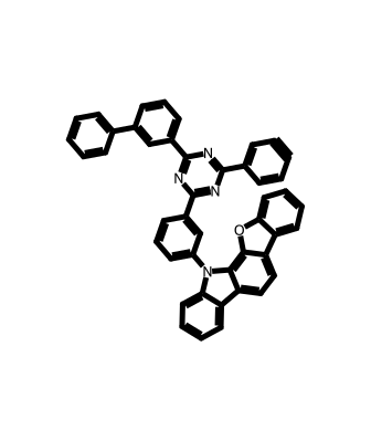 c1ccc(-c2nc(-c3cccc(-c4ccccc4)c3)nc(-c3cccc(-n4c5ccccc5c5ccc6c7ccccc7oc6c54)c3)n2)cc#1